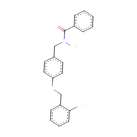 O=C(O)c1ccccc1CSc1ccc(CN(O)C(=O)c2ccccc2)cc1